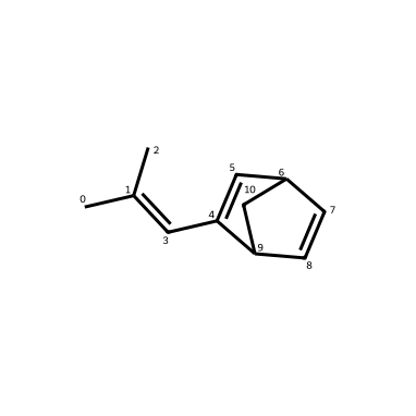 CC(C)=CC1=CC2C=CC1C2